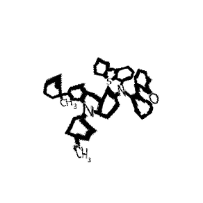 CC1C=CC(N2C3C=CC(N(C4=CCCc5c4sc4c5CCCC4)c4cccc5oc6c(c45)C=CCC6)=CC3C3C=CC(C4(C)C=CCCC4)=CC32)=CC1